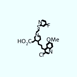 COc1ccc2ncc(Cl)c(CCCC3CCN(CCSc4cc(F)ccn4)CC3CC(=O)O)c2c1